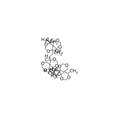 CC1OCOC(C)(CCC2(C)OCOC(C)(CCC3(C)OCOC(C)(C)C34C(C)OCOC4C)C23COCOC3(C)C)C12COCOC2(C)C